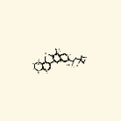 Cc1c(-c2cc3cc(N(CC4(F)COC4)C(=O)O)ncc3c(N)c2F)cnc2c1NCCO2